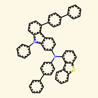 c1ccc(-c2ccc(-c3cccc4c3c3ccc(N(c5ccc(-c6ccccc6)cc5)c5cccc6sc7ccccc7c56)cc3n4-c3ccccc3)cc2)cc1